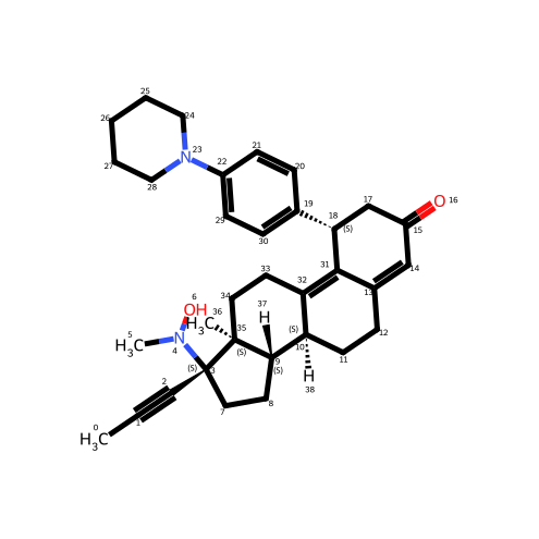 CC#C[C@]1(N(C)O)CC[C@H]2[C@@H]3CCC4=CC(=O)C[C@@H](c5ccc(N6CCCCC6)cc5)C4=C3CC[C@@]21C